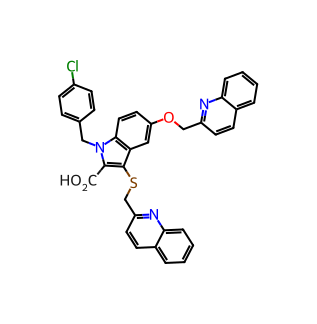 O=C(O)c1c(SCc2ccc3ccccc3n2)c2cc(OCc3ccc4ccccc4n3)ccc2n1Cc1ccc(Cl)cc1